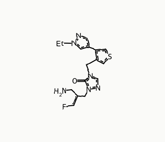 CCn1cc(-c2cscc2Cn2cnn(C/C(=C/F)CN)c2=O)cn1